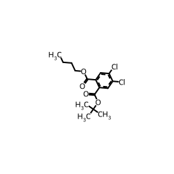 CCCCOC(=O)c1cc(Cl)c(Cl)cc1C(=O)OC(C)(C)C